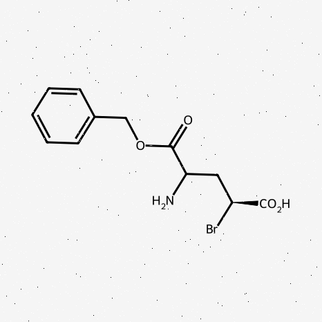 NC(C[C@H](Br)C(=O)O)C(=O)OCc1ccccc1